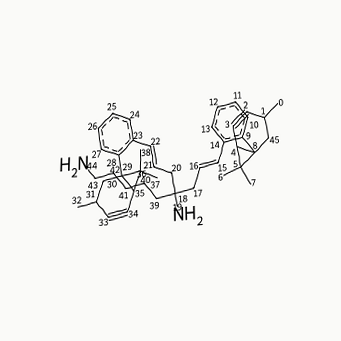 CC1C#CC2C(C)(C)C2(c2ccccc2C=CCC(N)(CC=Cc2ccccc2C23CC(C)C#CC2C3(C)C)CCCCCN)C1